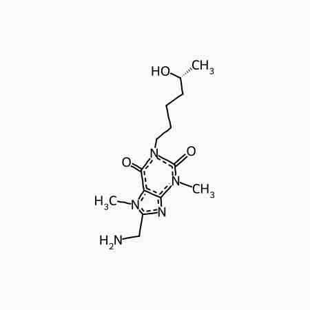 C[C@@H](O)CCCCn1c(=O)c2c(nc(CN)n2C)n(C)c1=O